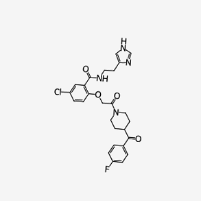 O=C(NCCc1c[nH]cn1)c1cc(Cl)ccc1OCC(=O)N1CCC(C(=O)c2ccc(F)cc2)CC1